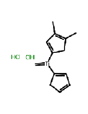 Cl.Cl.[CH2]=[Ti]([C]1=CC=CC1)[C]1=CC(C)=C(C)C1